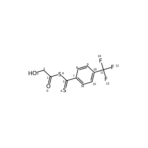 O=C(CO)SC(=S)c1ccc(C(F)(F)F)cc1